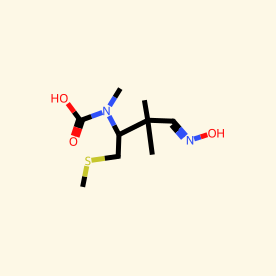 CSCC(N(C)C(=O)O)C(C)(C)C=NO